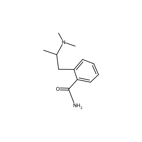 CC(Cc1ccccc1C(N)=O)N(C)C